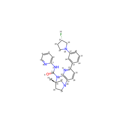 O=C(Nc1ccccn1)N1c2nc(-c3cccc(N4CC[C@H](F)C4)c3)ccc2N2CC[C@H]1C2